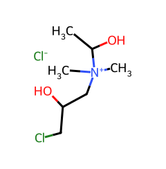 CC(O)[N+](C)(C)CC(O)CCl.[Cl-]